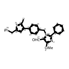 COc1nc(-c2ccccc2)n(Cc2ccc(-c3cc(CC(C)C)sc3C)cc2)c1C=O